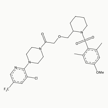 COc1cc(C)c(S(=O)(=O)N2CCCCC2COCC(=O)N2CCN(c3ncc(C(F)(F)F)cc3Cl)CC2)c(C)c1